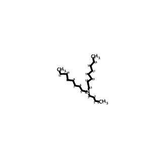 CCC[CH]N(CCCCCCCC)CCCCCCCC